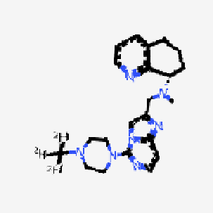 [2H]C([2H])([2H])N1CCN(c2nccc3nc(CN(C)[C@H]4CCCc5cccnc54)cn23)CC1